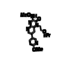 CCCOCCn1c(=O)c(NOC)nc2ncc(-c3ccc(OC)nc3)cc21